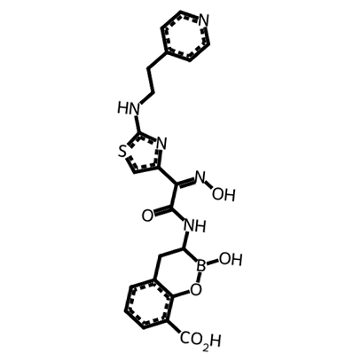 O=C(NC1Cc2cccc(C(=O)O)c2OB1O)C(=NO)c1csc(NCCc2ccncc2)n1